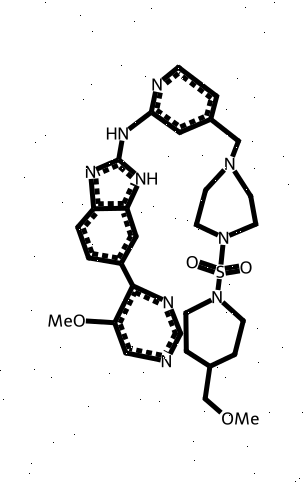 COCC1CCN(S(=O)(=O)N2CCN(Cc3ccnc(Nc4nc5ccc(-c6ncncc6OC)cc5[nH]4)c3)CC2)CC1